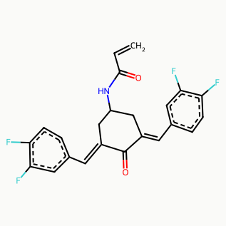 C=CC(=O)NC1C/C(=C\c2ccc(F)c(F)c2)C(=O)/C(=C/c2ccc(F)c(F)c2)C1